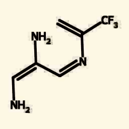 C=C(/N=C\C(N)=C/N)C(F)(F)F